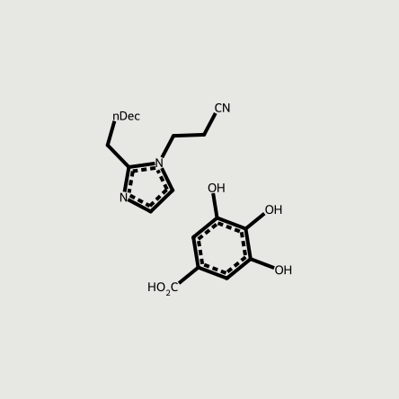 CCCCCCCCCCCc1nccn1CCC#N.O=C(O)c1cc(O)c(O)c(O)c1